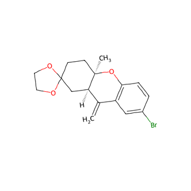 C=C1c2cc(Br)ccc2O[C@]2(C)CCC3(C[C@H]12)OCCO3